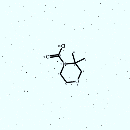 CC1(C)COCCN1C(=O)Cl